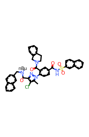 CCCCN(Cc1ccc2ccccc2c1)C(=O)c1nn(-c2ccc(C(=O)NS(=O)(=O)c3ccc4ccccc4c3)cc2C(=O)N2CCc3ccccc3C2)c(C)c1Cl